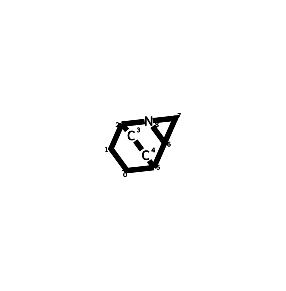 [CH]1CC2CCC1C1CN21